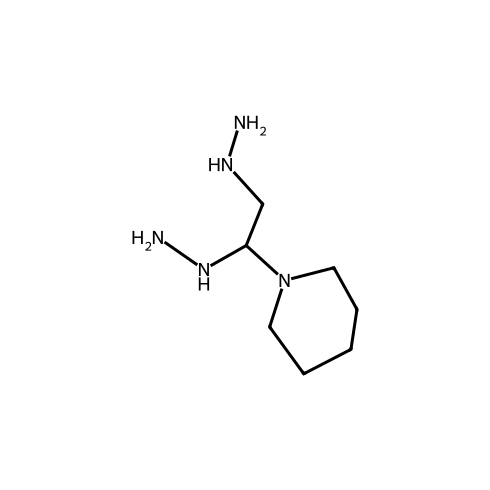 NNCC(NN)N1CCCCC1